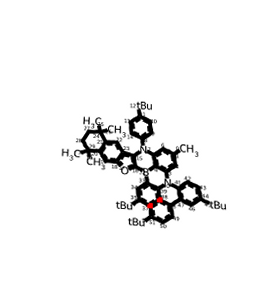 Cc1cc2c3c(c1)N(c1ccc(C(C)(C)C)cc1)c1c(oc4cc5c(cc14)C(C)(C)CCC5(C)C)B3c1cc(C(C)(C)C)ccc1N2c1ccc(C(C)(C)C)cc1-c1ccc(C(C)(C)C)cc1